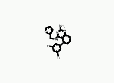 Nc1nc(NCc2cccs2)c2c(-c3cc(Cl)cc(Cl)c3)cccc2n1